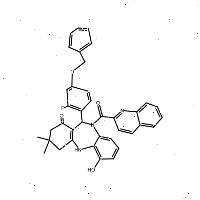 CC1(C)CC(=O)C2=C(C1)Nc1c(O)cccc1N(C(=O)c1ccc3ccccc3n1)C2c1ccc(OCc2ccccc2)cc1F